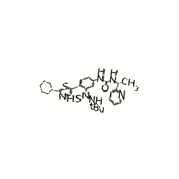 CC(NC(=O)Nc1ccc(-c2cnc(C3CCCCC3)s2)c(N(S)NC(C)(C)C)c1)c1ccccn1